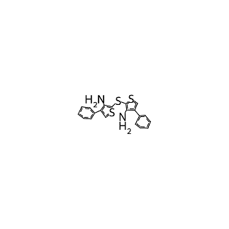 Nc1c(-c2ccccc2)csc1Sc1scc(-c2ccccc2)c1N